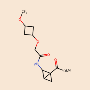 COC(=O)C12CC1C2NC(=O)COC1CC(OC(F)(F)F)C1